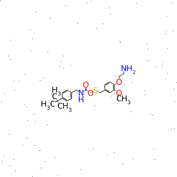 COc1cc(CSOC(=O)NCc2ccc(C(C)(C)C)cc2)ccc1OCCN